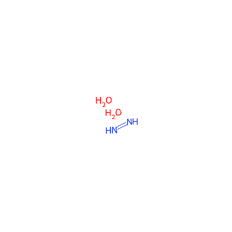 N=N.O.O